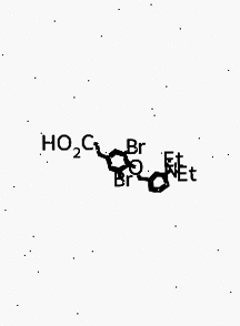 CCN(CC)c1cccc(COc2c(Br)cc(CCC(=O)O)cc2Br)c1